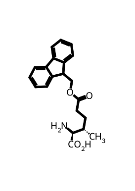 C[C@@H](CCC(=O)OCC1c2ccccc2-c2ccccc21)[C@H](N)C(=O)O